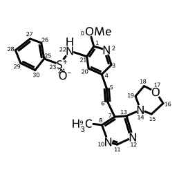 COc1ncc(C#Cc2c(C)ncnc2N2CCOCC2)cc1N[S+]([O-])c1ccccc1